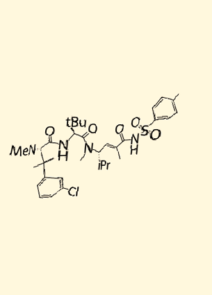 CN[C@H](C(=O)N[C@H](C(=O)N(C)[C@H](/C=C(\C)C(=O)NS(=O)(=O)c1ccc(C)cc1)C(C)C)C(C)(C)C)C(C)(C)c1cccc(Cl)c1